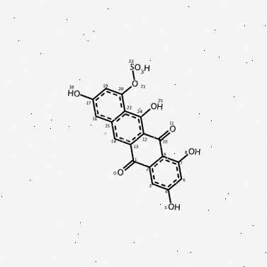 O=C1c2cc(O)cc(O)c2C(=O)c2c1cc1cc(O)cc(OS(=O)(=O)O)c1c2O